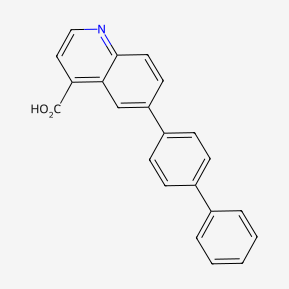 O=C(O)c1ccnc2ccc(-c3ccc(-c4ccccc4)cc3)cc12